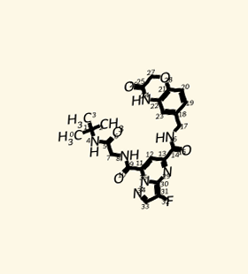 CC(C)(C)NC(=O)CNC(=O)c1cc(C(=O)NCc2ccc3c(c2)NC(=O)CO3)nc2c(F)cnn12